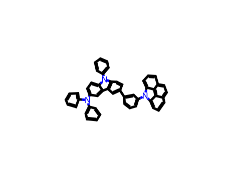 c1ccc(N(c2ccccc2)c2ccc3c(c2)c2cc(-c4cccc(-n5c6cccc7ccc8cccc5c8c76)c4)ccc2n3-c2ccccc2)cc1